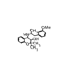 COc1cccc(CC(C)NC2c3ccccc3OC(C)(C)C2O)c1